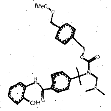 COOCc1ccc(COC(=O)N(CN(C)C)C(C)(C)c2ccc(C(=O)Nc3ccccc3O)cc2)cc1